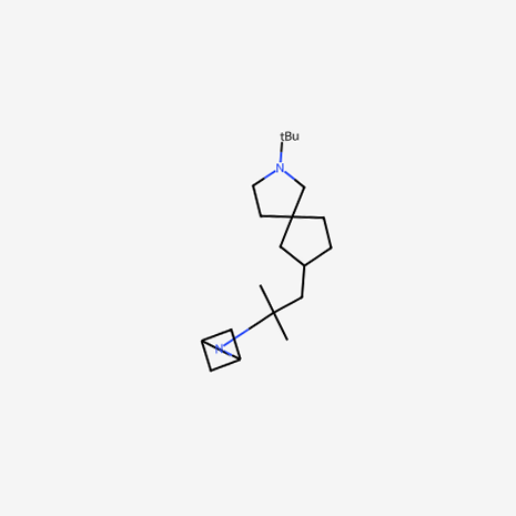 CC(C)(C)N1CCC2(CCC(CC(C)(C)N3CC4CC3C4)C2)C1